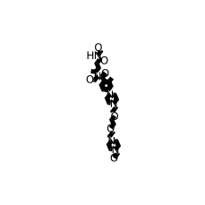 Cc1cc(N2CCN(CCOCCOCCN3CCN(C=O)CC3)CC2)ccc1C(=O)N(C=O)C(C)CCC(=O)NC=O